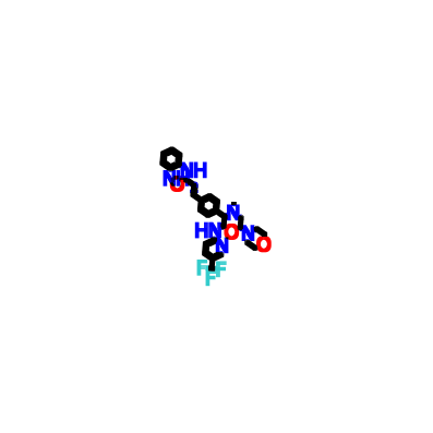 CN(CCN1CCOCC1)C(C(=O)Nc1ccc(C(F)(F)F)cn1)c1ccc(C=CC(=O)Nc2ccccc2N)cc1